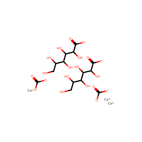 O=C([O-])C(O)C(O)C(O)C(O)CO.O=C([O-])C(O)C(O)C(O)C(O)CO.O=C([O-])[O-].O=C([O-])[O-].[Ca+2].[Ca+2].[Ca+2]